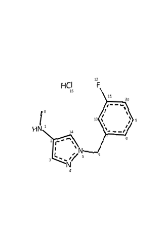 CNc1cnn(Cc2cccc(F)c2)c1.Cl